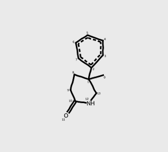 CC1(c2ccccc2)CCC(=O)NC1